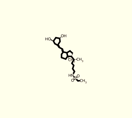 CCS(=O)(=O)NCCCC[C@@H](C)[C@H]1CCC2/C(=C/C=C3C[C@@H](O)C[C@H](O)C3)CCC[C@@]21C